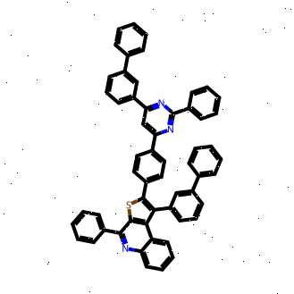 c1ccc(-c2cccc(-c3cc(-c4ccc(-c5sc6c(-c7ccccc7)nc7ccccc7c6c5-c5cccc(-c6ccccc6)c5)cc4)nc(-c4ccccc4)n3)c2)cc1